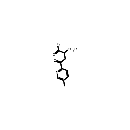 CCOC(=O)C(CC(=O)c1ccc(C)cn1)C(=O)CC